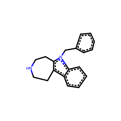 c1ccc(Cn2c3c(c4ccccc42)CCNCC3)cc1